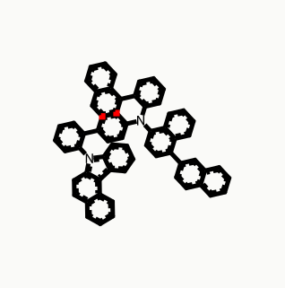 c1ccc(N(c2ccc(-c3ccccc3-n3c4ccccc4c4c5ccccc5ccc43)cc2)c2ccc(-c3ccc4ccccc4c3)c3ccccc23)c(-c2cccc3ccccc23)c1